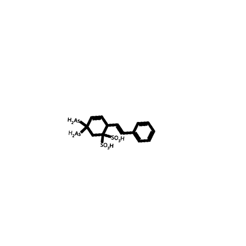 O=S(=O)(O)C1(S(=O)(=O)O)CC([AsH2])([AsH2])C=CC1C=Cc1ccccc1